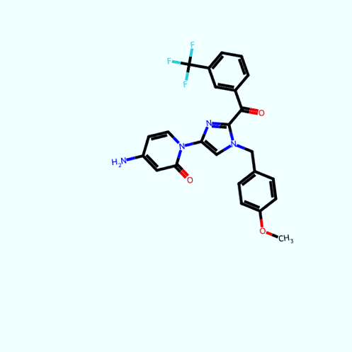 COc1ccc(Cn2cc(-n3ccc(N)cc3=O)nc2C(=O)c2cccc(C(F)(F)F)c2)cc1